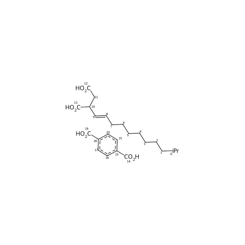 CC(C)CCCCCCCC=CC(CC(=O)O)C(=O)O.O=C(O)c1ccc(C(=O)O)cc1